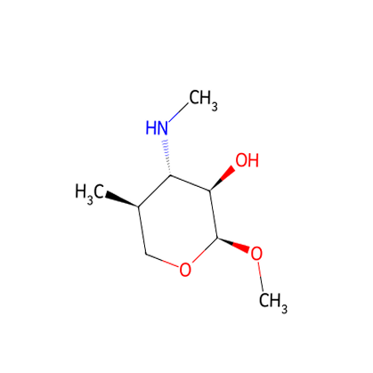 CN[C@@H]1[C@@H](O)[C@@H](OC)OC[C@H]1C